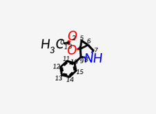 CC(=O)OC12CC1CNC2c1ccccc1